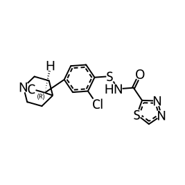 O=C(NSc1ccc([C@@H]2CN3CCC2CC3)cc1Cl)c1nncs1